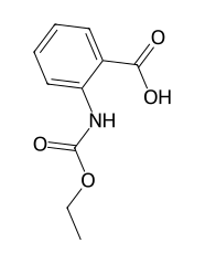 CCOC(=O)Nc1ccccc1C(=O)O